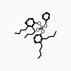 CCCCc1cccc(OP(=O)(Oc2ccccc2)Oc2cccc(CCCC)c2CCCC)c1CCCC